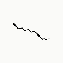 C#CCCCCCCC#CCO